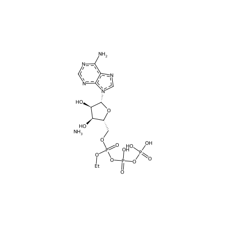 CCOP(=O)(OC[C@H]1O[C@@H](n2cnc3c(N)ncnc32)[C@H](O)[C@@H]1O)OP(=O)(O)OP(=O)(O)O.N